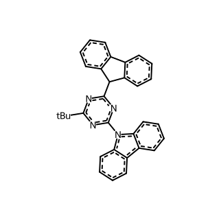 CC(C)(C)c1nc(C2c3ccccc3-c3ccccc32)nc(-n2c3ccccc3c3ccccc32)n1